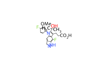 COc1cc(-n2c(C(C)(C)O)c(CCC(=O)O)c3c(F)c4[nH]ncc4cc32)ccc1F